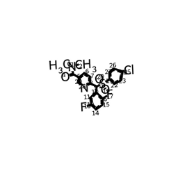 CN(C)C(=O)c1ccc(C(c2cc(F)ccc2F)S(=O)(=O)c2ccc(Cl)cc2)nc1